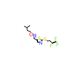 CC(C)CCO/N=C/c1cnc(SCCC(F)=C(F)F)s1